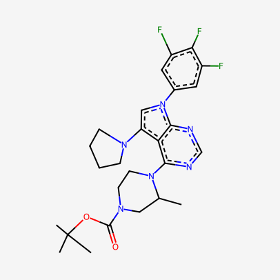 CC1CN(C(=O)OC(C)(C)C)CCN1c1ncnc2c1c(N1CCCC1)cn2-c1cc(F)c(F)c(F)c1